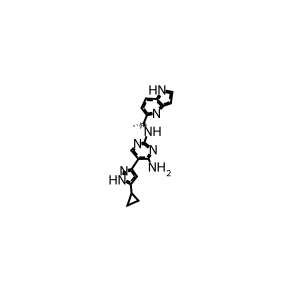 C[C@@H](Nc1ncc(-c2cc(C3CC3)[nH]n2)c(N)n1)c1ccc2[nH]ccc2n1